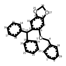 c1ccc(COc2cc3c(cc2C(c2ccccc2)c2ccccc2)OCO3)cc1